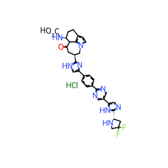 Cl.O=C(O)N[C@H]1CCc2ccn3c2C1C(=O)C[C@H](c1nc(-c2ccc(-c4ncc(-c5cnc([C@@H]6CC(F)(F)CN6)[nH]5)cn4)cc2)c[nH]1)C3